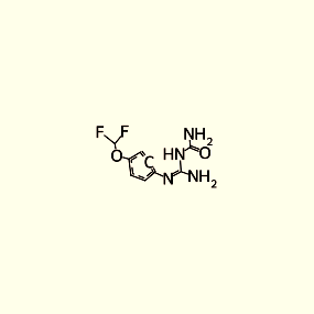 NC(=O)N/C(N)=N\c1ccc(OC(F)F)cc1